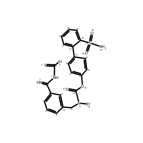 CCC(=S)NC(=N)c1cccc(CN(CC)C(=O)Oc2ccc(-c3ccccc3S(N)(=O)=O)cc2)c1